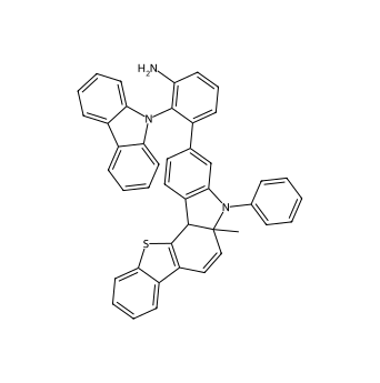 CC12C=Cc3c(sc4ccccc34)C1c1ccc(-c3cccc(N)c3-n3c4ccccc4c4ccccc43)cc1N2c1ccccc1